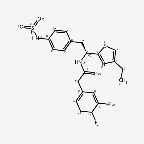 CCc1csc([C@H](Cc2ccc(N[SH](=O)=O)cc2)NC(=O)CC2=CCC(F)C(F)=C2)n1